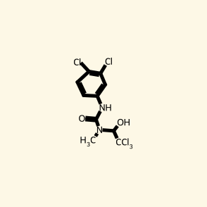 CN(C(=O)Nc1ccc(Cl)c(Cl)c1)C(O)C(Cl)(Cl)Cl